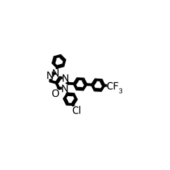 O=c1c2cnn(-c3ccccc3)c2nc(-c2ccc(-c3ccc(C(F)(F)F)cc3)cc2)n1-c1ccc(Cl)cc1